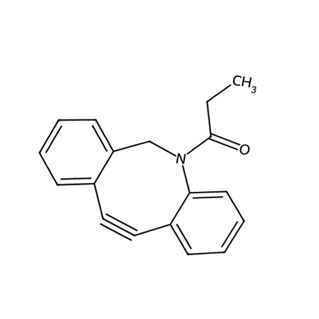 CCC(=O)N1Cc2ccccc2C#Cc2ccccc21